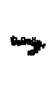 CC(C)c1cnn2c(NCc3cccc(NC(=O)C4CCN(C(=O)OC(C)(C)C)C4)c3)nc(OC3CCN(C)CC3)nc12